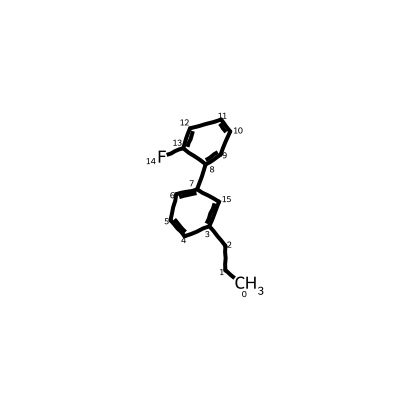 CCCc1cccc(-c2ccccc2F)c1